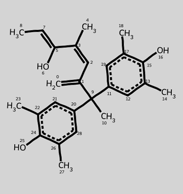 C=C(/C=C(C)\C(O)=C\C)C(C)(c1cc(C)c(O)c(C)c1)c1cc(C)c(O)c(C)c1